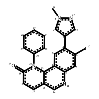 Cn1cc(-c2cc3c(cc2I)ncc2ccc(=O)n(-c4ccccc4)c23)cn1